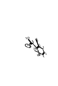 C=C1CC=CC(C)(C)C1C(C)=O